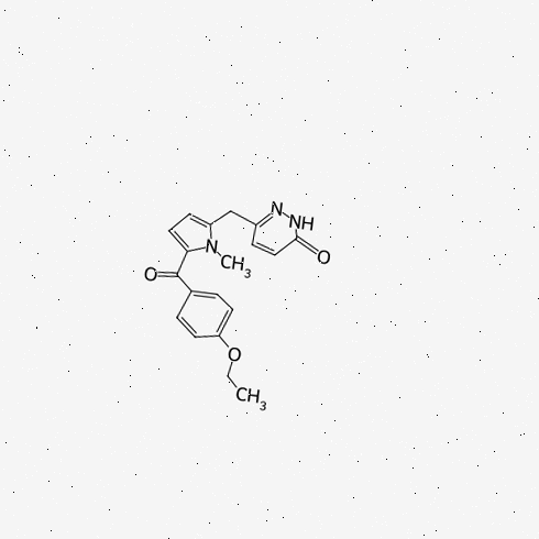 CCOc1ccc(C(=O)c2ccc(Cc3ccc(=O)[nH]n3)n2C)cc1